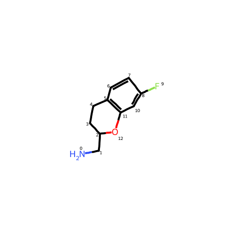 NCC1CCc2ccc(F)cc2O1